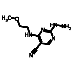 COCCNc1nc(NN)ncc1C#N